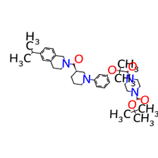 CC(C)c1ccc2c(c1)CCN(C(=O)[C@@H]1CCCN(c3cccc(OC(C)(C)C(=O)N4CCN(C(=O)OC(C)(C)C)CC4)c3)C1)C2